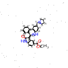 COC(=O)c1ccc2c(c1)C(=C(Nc1ccc(CN3CCCC3)cc1)c1ccccc1)C(=O)N2